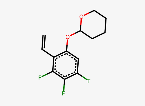 C=Cc1c(OC2CCCCO2)cc(F)c(F)c1F